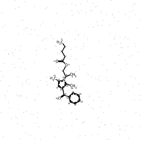 CCCCC(=O)OCC(C)n1c(C)cc(C(=O)c2ccccc2)c1C